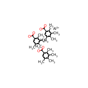 Cc1cc(C(=O)[O-])c(C)c(C)c1C.Cc1cc(C(=O)[O-])c(C)c(C)c1C.Cc1cc(C(=O)[O-])c(C)c(C)c1C.[Al+3]